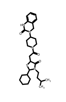 CC(C)CCN1C(=O)C(CC(=O)N2CCC(N3Cc4ccccc4NC3=O)CC2)SC1C1CCCCC1